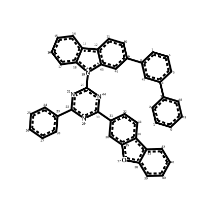 c1ccc(-c2cccc(-c3ccc4c5ccccc5n(-c5nc(-c6ccccc6)nc(-c6ccc7c(c6)oc6ccccc67)n5)c4c3)c2)cc1